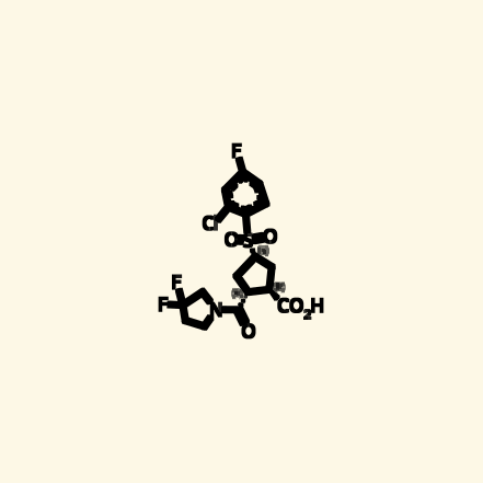 O=C(O)[C@@H]1C[C@@H](S(=O)(=O)c2ccc(F)cc2Cl)C[C@H]1C(=O)N1CCC(F)(F)C1